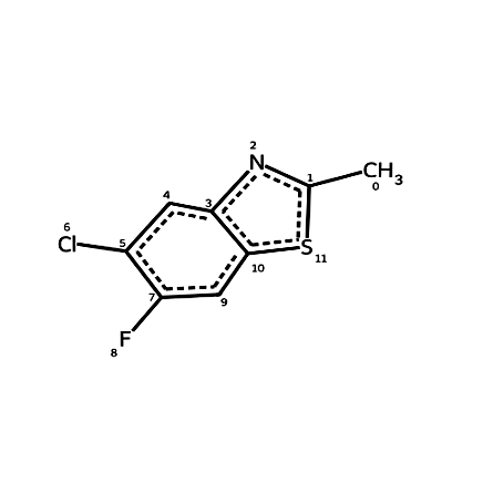 Cc1nc2cc(Cl)c(F)cc2s1